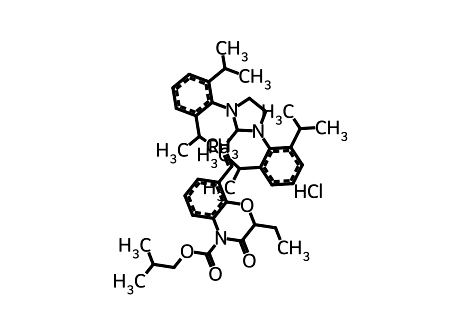 CCC1Oc2c(/[CH]=[Ru]/[CH]3N(c4c(C(C)C)cccc4C(C)C)CCN3c3c(C(C)C)cccc3C(C)C)cccc2N(C(=O)OCC(C)C)C1=O.Cl